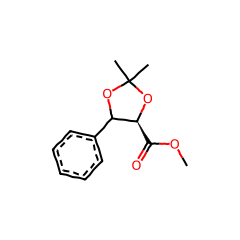 COC(=O)[C@@H]1OC(C)(C)OC1c1ccccc1